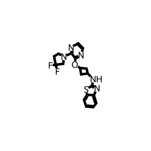 FC1(F)CCN(c2nccnc2OC2CC(Nc3nc4ccccc4s3)C2)C1